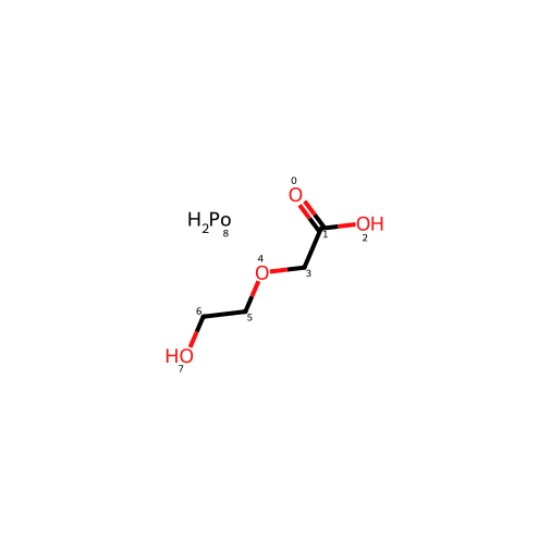 O=C(O)COCCO.[PoH2]